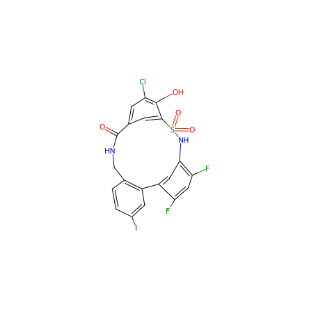 O=C1NCc2ccc(I)cc2-c2cc(c(F)cc2F)NS(=O)(=O)c2cc1cc(Cl)c2O